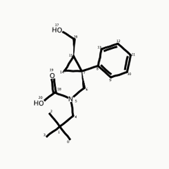 CC(C)(C)CN(C[C@@]1(c2ccccc2)C[C@H]1CO)C(=O)O